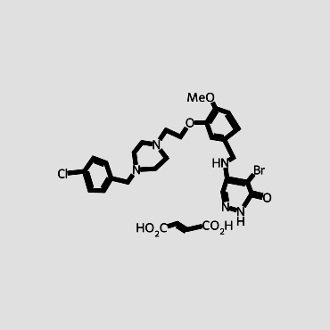 COc1ccc(CNc2cn[nH]c(=O)c2Br)cc1OCCN1CCN(Cc2ccc(Cl)cc2)CC1.O=C(O)C=CC(=O)O